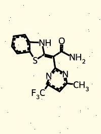 Cc1cc(C(F)(F)F)nc(/C(C(N)=O)=C2/Nc3ccccc3S2)n1